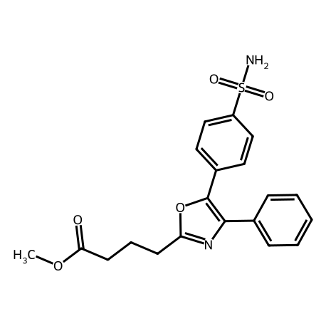 COC(=O)CCCc1nc(-c2ccccc2)c(-c2ccc(S(N)(=O)=O)cc2)o1